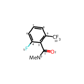 CNC(=O)c1c(F)cccc1C(F)(F)F